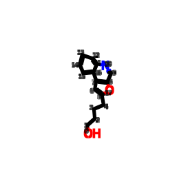 OCCCCc1cc2c(cnc3ccccc32)o1